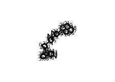 c1cc(-c2ccc(-c3ccc(C4=c5ccc6cccc7ccc(c5c76)CC4)cn3)nc2)cc(-n2c3ccccc3c3cnccc32)c1